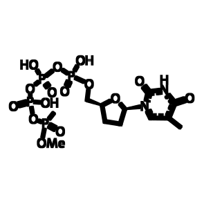 COP(C)(=O)OP(=O)(O)OP(=O)(O)OP(=O)(O)OC[C@@H]1CC[C@H](n2cc(C)c(=O)[nH]c2=O)O1